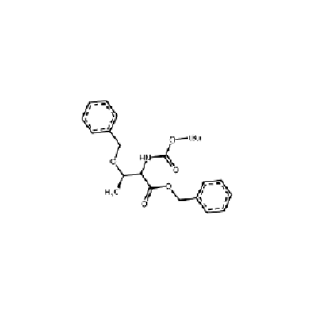 C[C@@H](OCc1ccccc1)C(NC(=O)OC(C)(C)C)C(=O)OCc1ccccc1